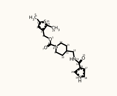 Cc1cc(COC(=O)N2CCC(CNC(=O)c3cc[nH]c3)CC2)c(C)s1